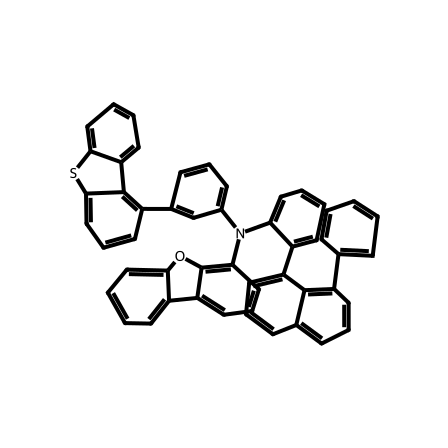 c1ccc(-c2cccc3cccc(-c4ccccc4N(c4cccc(-c5cccc6sc7ccccc7c56)c4)c4cccc5c4oc4ccccc45)c23)cc1